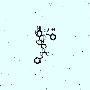 Nc1cc(N[C@H](CO)c2ccccc2)c(C2=NC3(CCN(C(=O)OCc4ccccc4)C3)CO2)cn1